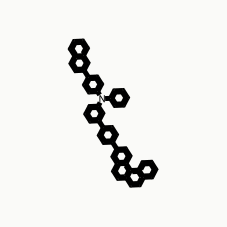 c1ccc(N(c2ccc(-c3ccc4ccccc4c3)cc2)c2cccc(-c3ccc(-c4ccc5c(ccc6ccc7ccccc7c65)c4)cc3)c2)cc1